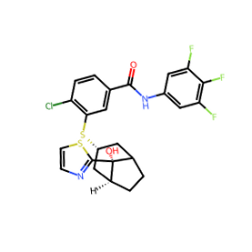 O=C(Nc1cc(F)c(F)c(F)c1)c1ccc(Cl)c(S[C@@H]2CC3CC[C@@H](C2)[C@@]3(O)c2nccs2)c1